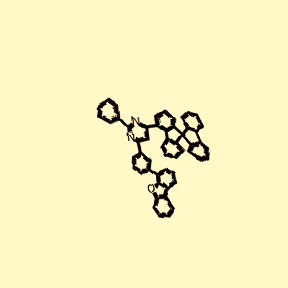 c1ccc(-c2nc(-c3cccc(-c4cccc5c4oc4ccccc45)c3)cc(-c3cccc4c3-c3ccccc3C43c4ccccc4-c4ccccc43)n2)cc1